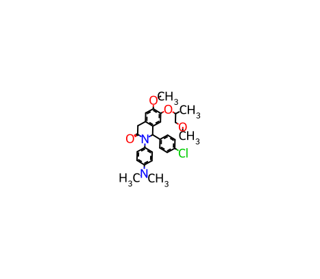 COCC(C)Oc1cc2c(cc1OC)CC(=O)N(c1ccc(N(C)C)cc1)C2c1ccc(Cl)cc1